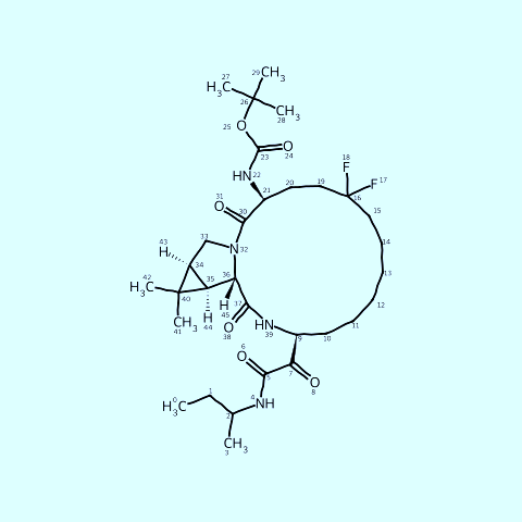 CCC(C)NC(=O)C(=O)[C@@H]1CCCCCCC(F)(F)CC[C@H](NC(=O)OC(C)(C)C)C(=O)N2C[C@H]3[C@@H]([C@H]2C(=O)N1)C3(C)C